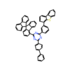 c1ccc(-c2ccc(-c3nc(-c4cccc(-c5cccc6c5sc5ccccc56)c4)nc(-c4cccc5c4-c4ccccc4C54c5ccccc5-c5ccccc54)n3)cc2)cc1